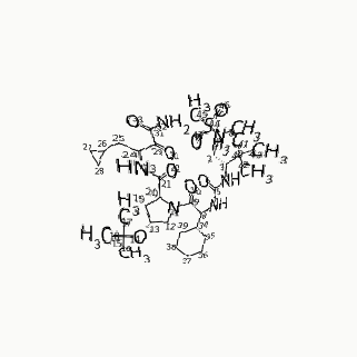 CN(C[C@@H](NC(=O)N[C@H](C(=O)N1C[C@H](OC(C)(C)C)C[C@H]1C(=O)NC(CC1CC1)C(=O)C(N)=O)C1CCCCC1)C(C)(C)C)S(C)(=O)=O